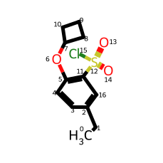 CCc1ccc(OC2CCC2)c(S(=O)(=O)Cl)c1